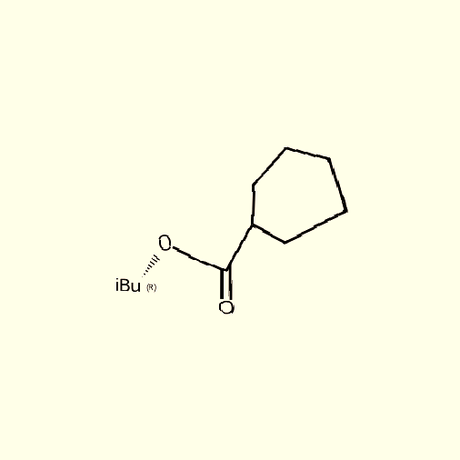 CC[C@@H](C)OC(=O)C1CCCCC1